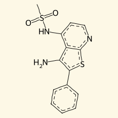 CS(=O)(=O)Nc1ccnc2sc(-c3ccccc3)c(N)c12